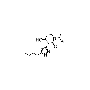 CCCCc1nnc(N2C(=O)N(C(C)Br)CCC2O)s1